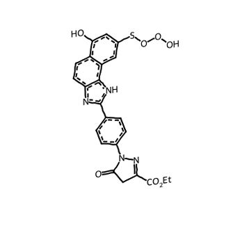 CCOC(=O)C1=NN(c2ccc(-c3nc4ccc5c(O)cc(SOOO)cc5c4[nH]3)cc2)C(=O)C1